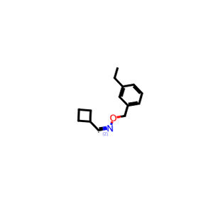 CCc1cccc(CO/N=[C]\C2CCC2)c1